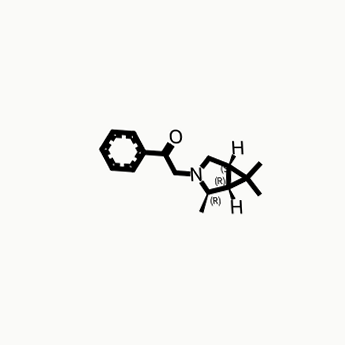 C[C@@H]1[C@@H]2[C@H](CN1CC(=O)c1ccccc1)C2(C)C